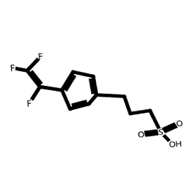 O=S(=O)(O)CCCc1ccc(C(F)=C(F)F)cc1